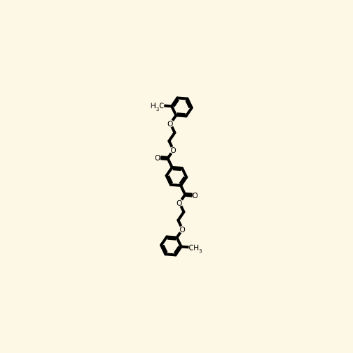 Cc1ccccc1OCCOC(=O)c1ccc(C(=O)OCCOc2ccccc2C)cc1